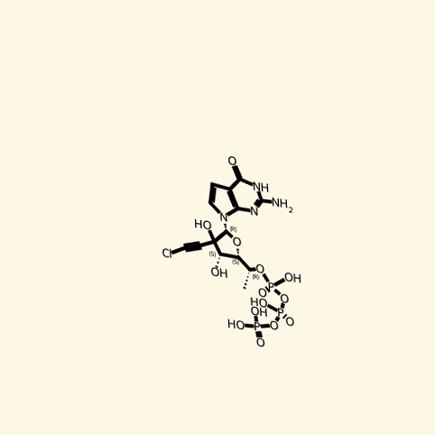 C[C@@H](OP(=O)(O)OP(=O)(O)OP(=O)(O)O)[C@H]1O[C@@H](n2ccc3c(=O)[nH]c(N)nc32)C(O)(C#CCl)[C@H]1O